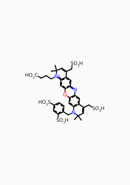 CC1(C)C=C(CS(=O)(=O)O)c2cc3c(cc2N1Cc1ccc(S(=O)(=O)O)cc1S(=O)(=O)O)Oc1cc2c(cc1=N3)C(CS(=O)(=O)O)=CC(C)(C)[N+]=2CCCC(=O)O